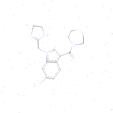 O=C(c1cn(CC2=NCCN2)c2cc(Br)ccc12)N1CCSCC1